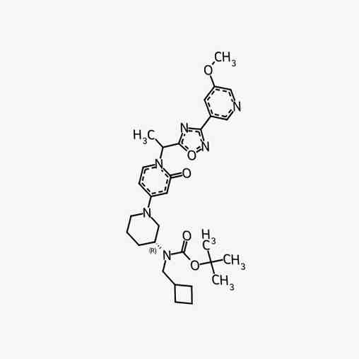 COc1cncc(-c2noc(C(C)n3ccc(N4CCC[C@@H](N(CC5CCC5)C(=O)OC(C)(C)C)C4)cc3=O)n2)c1